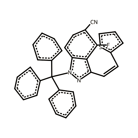 N#Cc1ccc2c(c(/C=C\c3cccs3)nn2C(c2ccccc2)(c2ccccc2)c2ccccc2)c1F